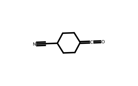 N#CC1CCC(=C=O)CC1